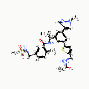 CC(=O)NCc1ccc(-c2cc(-c3cnn(C)c3)cc(C(C)NC(=O)c3cc(CNS(C)(=O)=O)ccc3C)c2)s1